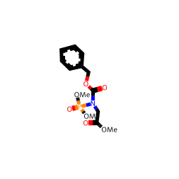 COC(=O)CN(C(=O)OCc1ccccc1)P(=O)(OC)OC